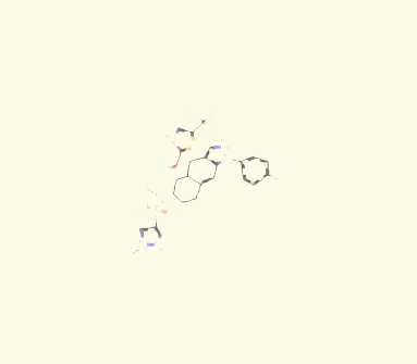 CN([C@H]1CCC2=Cc3c(cnn3-c3ccc(F)cc3)C[C@]2(C(=O)c2ncc(C(F)(F)F)s2)C1)S(=O)(=O)c1cnn(C)c1